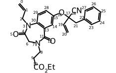 C=CCN1C(=O)CN(CCC(=O)OCC)C(=O)c2cc(OC(C#N)(C=C)Cc3ccccc3)ccc21